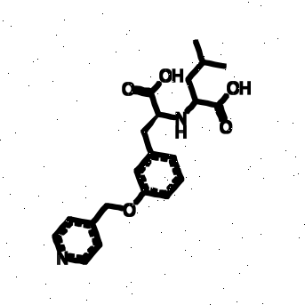 CC(C)CC(N[C@@H](Cc1cccc(OCc2ccncc2)c1)C(=O)O)C(=O)O